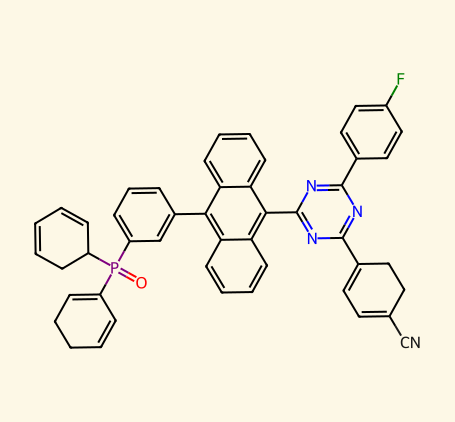 N#CC1=CC=C(c2nc(-c3ccc(F)cc3)nc(-c3c4ccccc4c(-c4cccc(P(=O)(C5=CCCC=C5)C5C=CC=CC5)c4)c4ccccc34)n2)CC1